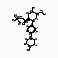 COC1CC(c2ccc(N3CCN(C)CC3)cc2)N(C(=O)OC(C)(C)C)CC1C